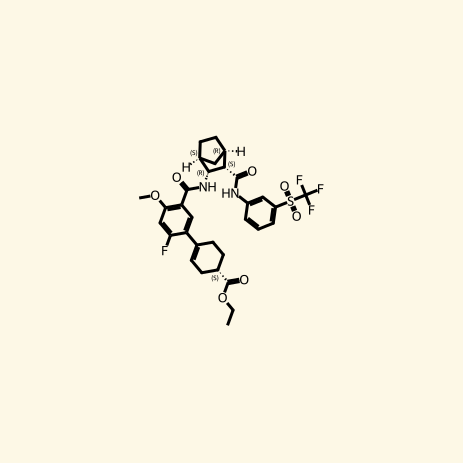 CCOC(=O)[C@@H]1CC=C(c2cc(C(=O)N[C@@H]3[C@H]4CC[C@H](C4)[C@@H]3C(=O)Nc3cccc(S(=O)(=O)C(F)(F)F)c3)c(OC)cc2F)CC1